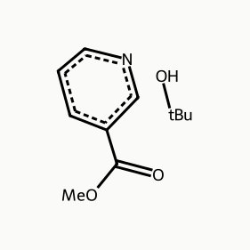 CC(C)(C)O.COC(=O)c1cccnc1